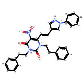 O=c1c([N+](=O)[O-])c(C=Cc2cnn(-c3ccccc3)c2)n(CCc2ccccc2)c(=O)n1CCc1ccccc1